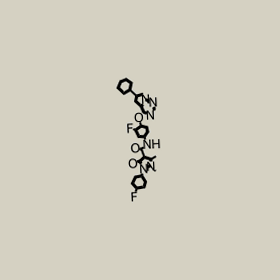 Cc1c(C(=O)Nc2ccc(Oc3ncnn4cc(-c5ccccc5)cc34)c(F)c2)c(=O)n(-c2ccc(F)cc2)n1C